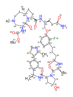 CC(=O)N1CC[C@H]2CC[C@@H](C(=O)N[C@@H](CCC(N)=O)COc3cccc(CCCC(=O)N[C@H](C(=O)N4C[C@H](O)CC4C(=O)N[C@@H](C)c4ccc(-c5scnc5C)cc4)C(C)(C)C)c3F)N2C(=O)[C@@H](NC(=O)OC(C)(C)C)C1